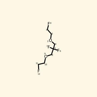 FCCOCC(F)(F)COCCF